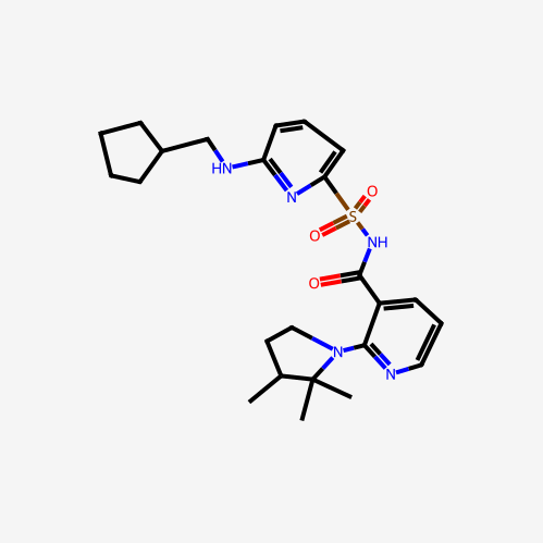 CC1CCN(c2ncccc2C(=O)NS(=O)(=O)c2cccc(NCC3CCCC3)n2)C1(C)C